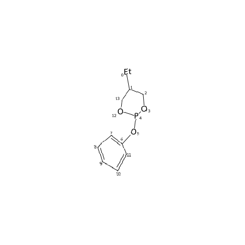 CCC1COP(Oc2ccccc2)OC1